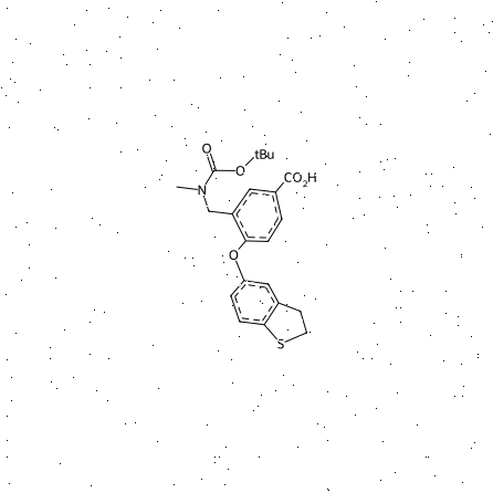 CN(Cc1cc(C(=O)O)ccc1Oc1ccc2c(c1)CCS2)C(=O)OC(C)(C)C